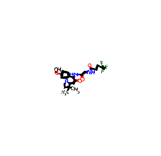 COc1ccc2c(c1)N1CCC(C)(C)C1=CC(=O)C2NC(=O)CNC(=O)CCC(F)(F)F